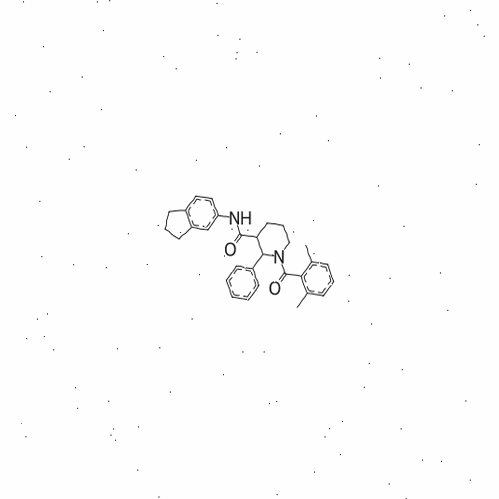 Cc1cccc(C)c1C(=O)N1CCCC(C(=O)Nc2ccc3c(c2)CCC3)C1c1ccccc1